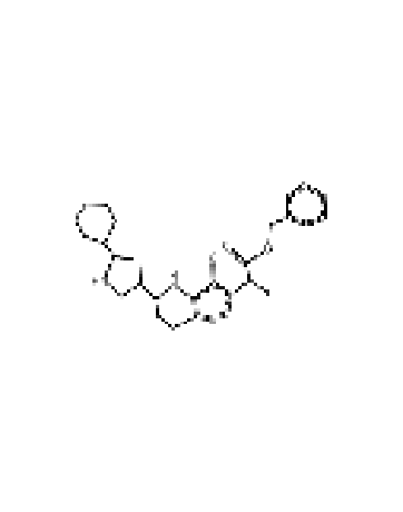 C[C@H](C(=O)OCc1ccccc1)n1cnc2c(c1=O)NC(C1CNC(C3CCCCC3)O1)CC2